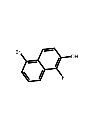 Oc1ccc2c(Br)cccc2c1F